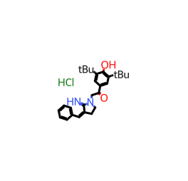 CC(C)(C)c1cc(C(=O)CN2CCC(=Cc3ccccc3)C2=N)cc(C(C)(C)C)c1O.Cl